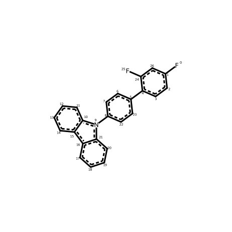 Fc1ccc(-c2ccc(-n3c4ccccc4c4ccccc43)cc2)c(F)c1